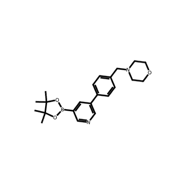 CC1(C)OB(c2cncc(-c3ccc(CN4CCOCC4)cc3)c2)OC1(C)C